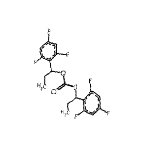 CCC(OC(=O)OC(CC)c1c(F)cc(F)cc1F)c1c(F)cc(F)cc1F